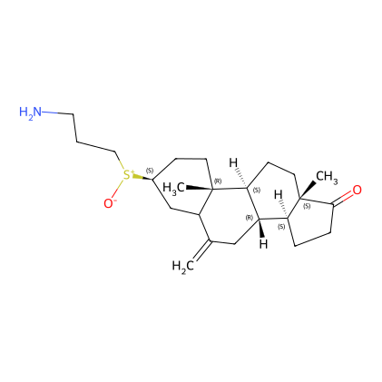 C=C1C[C@@H]2[C@H](CC[C@]3(C)C(=O)CC[C@@H]23)[C@@]2(C)CC[C@H]([S+]([O-])CCCN)CC12